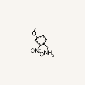 COc1ccc(CN)c([N+](=O)[O-])c1